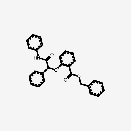 O=C(OCc1ccccc1)c1ccccc1OC(C(=O)Nc1ccccc1)c1ccccc1